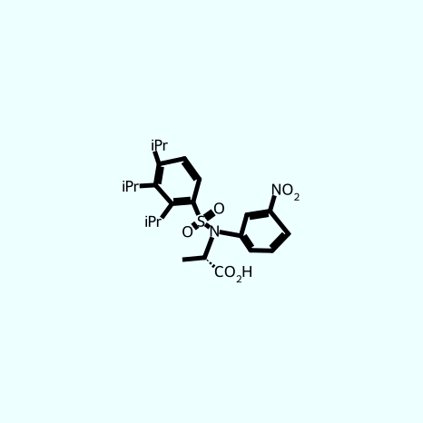 CC(C)c1ccc(S(=O)(=O)N(c2cccc([N+](=O)[O-])c2)[C@@H](C)C(=O)O)c(C(C)C)c1C(C)C